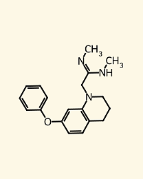 C/N=C(/CN1CCCc2ccc(Oc3ccccc3)cc21)NC